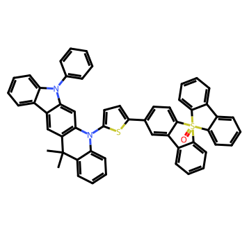 CC1(C)c2ccccc2N(c2ccc(-c3ccc4c(c3)-c3ccccc3S43(=O)c4ccccc4-c4ccccc43)s2)c2cc3c(cc21)c1ccccc1n3-c1ccccc1